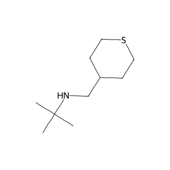 CC(C)(C)NCC1CCSCC1